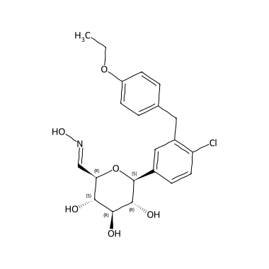 CCOc1ccc(Cc2cc([C@@H]3O[C@H](C=NO)[C@@H](O)[C@H](O)[C@H]3O)ccc2Cl)cc1